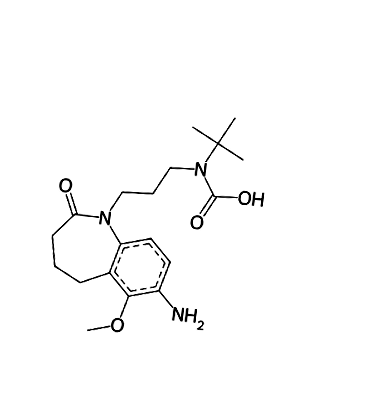 COc1c(N)ccc2c1CCCC(=O)N2CCCN(C(=O)O)C(C)(C)C